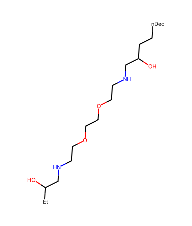 CCCCCCCCCCCCC(O)CNCCOCCOCCNCC(O)CC